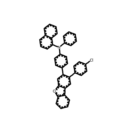 Clc1ccc(-c2cc3c(cc2-c2ccc(N(c4ccccc4)c4cccc5ccccc45)cc2)oc2ccccc23)cc1